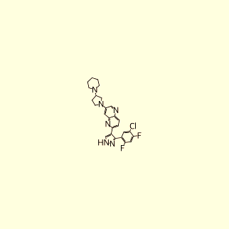 Fc1cc(F)c(-c2n[nH]cc2-c2ccc3ncc(N4CC[C@@H](N5CCCCC5)C4)cc3n2)cc1Cl